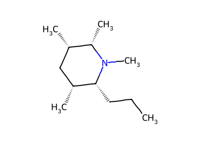 CCC[C@@H]1[C@H](C)C[C@H](C)[C@H](C)N1C